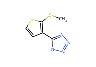 CSc1sccc1C1=NN=N[N]1